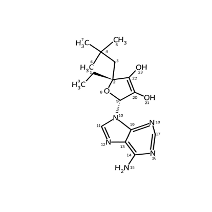 CC[C@]1(CC(C)(C)C)O[C@@H](n2cnc3c(N)ncnc32)C(O)=C1O